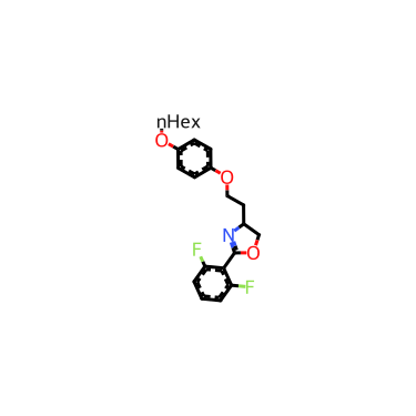 CCCCCCOc1ccc(OCCC2COC(c3c(F)cccc3F)=N2)cc1